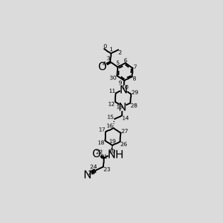 CC(C)C(=O)c1cccc(N2CCN(CC[C@H]3CC[C@H](NC(=O)CC#N)CC3)CC2)c1